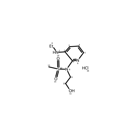 CCNc1cccnc1N(CCO)S(C)(=O)=O.Cl